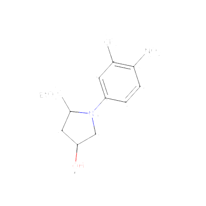 CCOC(=O)C1CC(O)CN1c1ccc([N+](=O)[O-])c(C(F)(F)F)c1